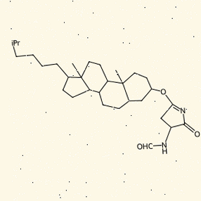 CC(C)CCCCC1CCC2C3CCC4CC(OC5=NC(=O)C(NC=O)C5)CCC4(C)C3CCC12C